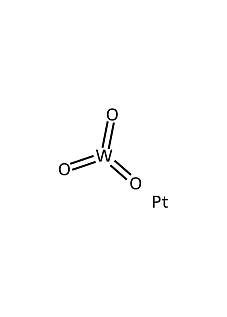 [O]=[W](=[O])=[O].[Pt]